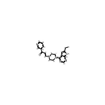 CCc1cc2c(N3CCN(C=CC(=O)c4cccnc4)CC3)ncnc2s1